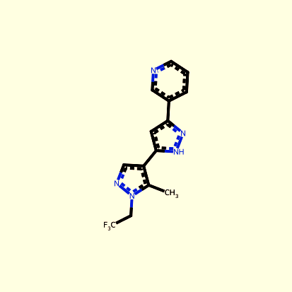 Cc1c(-c2cc(-c3cccnc3)n[nH]2)cnn1CC(F)(F)F